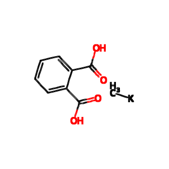 O=C(O)c1ccccc1C(=O)O.[CH3][K]